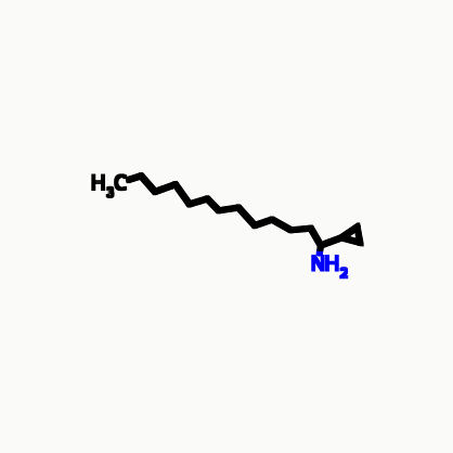 CCCCCCCCCCCCC(N)C1CC1